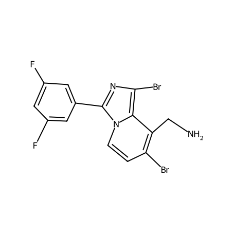 NCc1c(Br)ccn2c(-c3cc(F)cc(F)c3)nc(Br)c12